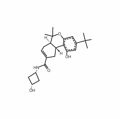 CC(C)(C)c1cc(O)c2c(c1)OC(C)(C)[C@@H]1CC=C(C(=O)N[C@H]3C[C@@H](O)C3)C[C@@H]21